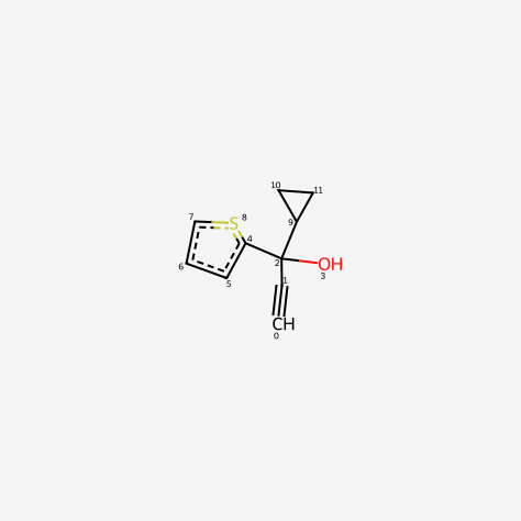 C#CC(O)(c1cccs1)C1CC1